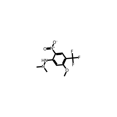 COc1cc(NN(C)C)c([N+](=O)[O-])cc1C(F)(F)F